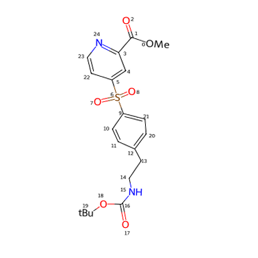 COC(=O)c1cc(S(=O)(=O)c2ccc(CCNC(=O)OC(C)(C)C)cc2)ccn1